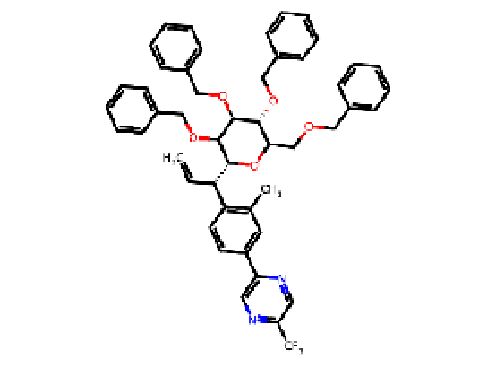 C=CC(c1ccc(-c2cnc(C(F)(F)F)cn2)cc1C)[C@H]1O[C@H](COCc2ccccc2)[C@@H](OCc2ccccc2)[C@H](OCc2ccccc2)[C@@H]1OCc1ccccc1